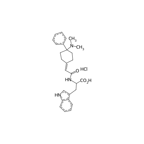 CN(C)C1(c2ccccc2)CCC(=CC(=O)NC(Cc2c[nH]c3ccccc23)C(=O)O)CC1.Cl